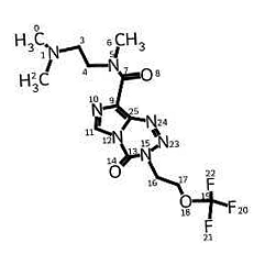 CN(C)CCN(C)C(=O)c1ncn2c(=O)n(CCOC(F)(F)F)nnc12